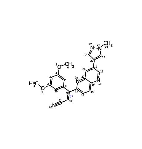 COc1cc(OC)cc(/C(=C\C#N)c2ccc3ncc(-c4cnn(C)c4)cc3n2)c1